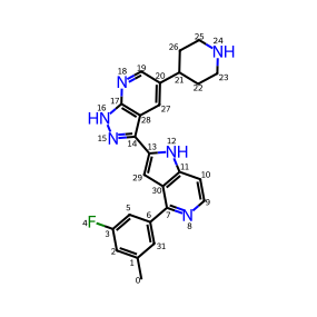 Cc1cc(F)cc(-c2nccc3[nH]c(-c4n[nH]c5ncc(C6CCNCC6)cc45)cc23)c1